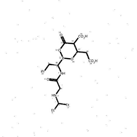 CCC(CC)NCC(=O)N[C@@H](CC(C)C)B1OC(=O)C(C(=O)O)C(CC(=O)O)O1